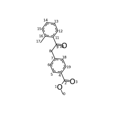 COC(=O)c1ccc(CC(=O)c2ccccc2C)cc1